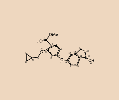 COC(=O)c1ccc(Oc2ccc3c(c2)COB3O)nc1OCC1CC1